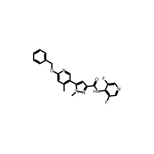 Cc1cc(OCc2ccccc2)ncc1-c1cc(C(=O)Nc2c(F)cncc2F)nn1C